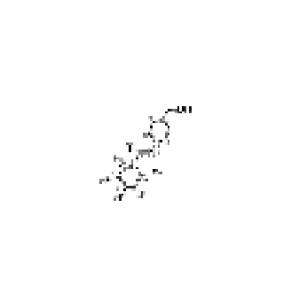 OCc1ccc(N=C(F)c2c(F)c(F)c(F)c(F)c2F)cc1